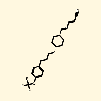 N#C/C=C/C=C/[C@H]1CC[C@H](CCCCc2ccc(OC(F)(F)F)cc2)CC1